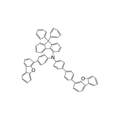 c1ccc(C2(c3ccccc3)c3ccccc3-c3c(N(c4ccc(-c5ccc(-c6cccc7c6oc6ccccc67)cc5)cc4)c4ccc(-c5cccc6c5oc5ccccc56)cc4)cccc32)cc1